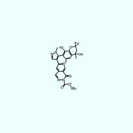 Cn1ncc(-c2cc3cnn(C(=O)OC(C)(C)C)c(=O)c3cn2)c1-c1c(F)cc2c(c1C#N)OC1(CC1)CC2(C)O